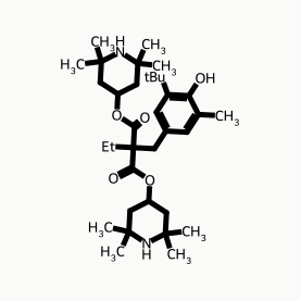 CCC(Cc1cc(C)c(O)c(C(C)(C)C)c1)(C(=O)OC1CC(C)(C)NC(C)(C)C1)C(=O)OC1CC(C)(C)NC(C)(C)C1